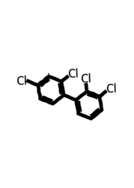 Clc1[c]c(Cl)c(-c2cccc(Cl)c2Cl)cc1